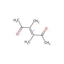 CC(=O)/C(C)=C(\C)C(C)=O